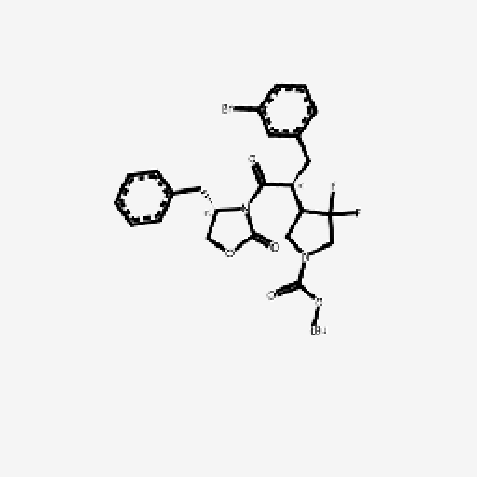 CC(C)(C)OC(=O)N1CC([C@H](Cc2cccc(Br)c2)C(=O)N2C(=O)OC[C@@H]2Cc2ccccc2)C(F)(F)C1